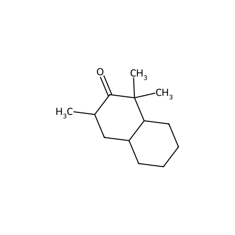 CC1CC2CCCCC2C(C)(C)C1=O